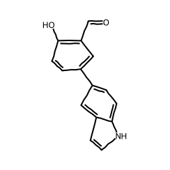 O=Cc1cc(-c2ccc3[nH]ccc3c2)ccc1O